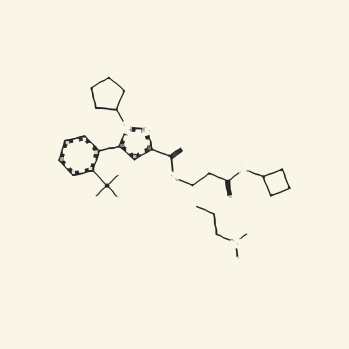 CN(C)CCC[C@@H](CC(=O)NC1CCC1)NC(=O)c1cc(-c2ccccc2C(F)(F)F)n(C2CCCC2)n1